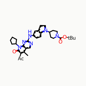 CC(=O)c1c(C)c2cnc(Nc3ccc4c(ccn4C4CCN(C(=O)OC(C)(C)C)CC4)c3)nc2n(C2CCCC2)c1=O